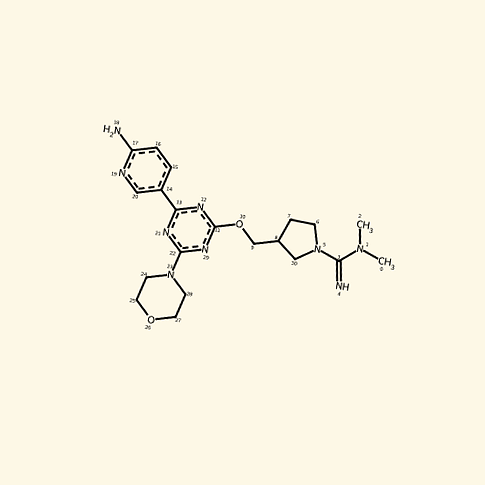 CN(C)C(=N)N1CCC(COc2nc(-c3ccc(N)nc3)nc(N3CCOCC3)n2)C1